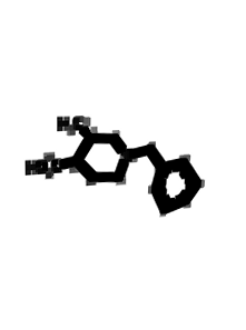 C[C@H]1CN(Cc2ccccc2)CCC1C(=O)O